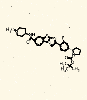 CN1CCC(NC(=O)c2ccc3c(c2)sc2nc(-c4ccc([C@@H]5CCCN5C(=O)OC(C)(C)C)cc4F)cn23)CC1